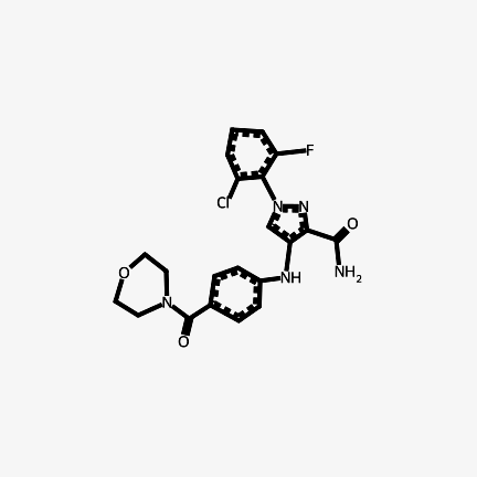 NC(=O)c1nn(-c2c(F)cccc2Cl)cc1Nc1ccc(C(=O)N2CCOCC2)cc1